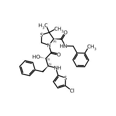 Cc1ccccc1CNC(=O)[C@H]1N(C(=O)[C@@H](O)[C@H](Cc2ccccc2)Nc2ccc(Cl)s2)CSC1(C)C